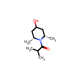 CC(C)C(=O)N1[C@H](C)CC(O)C[C@@H]1C